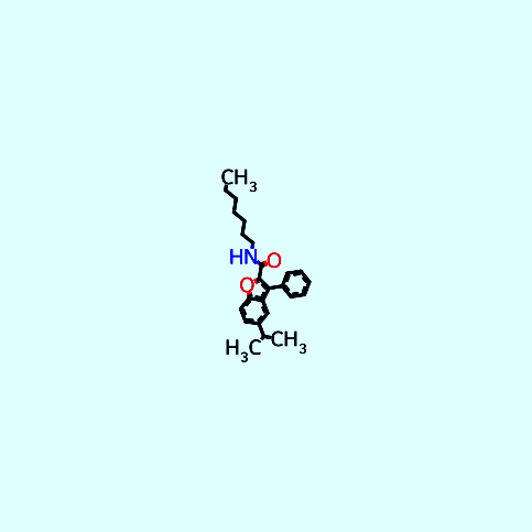 CCCCCCCNC(=O)c1oc2ccc(C(C)C)cc2c1-c1ccccc1